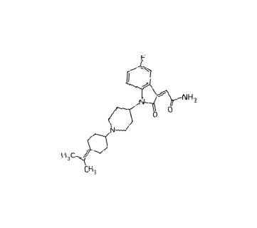 CC(C)=C1CCC(N2CCC(N3C(=O)/C(=C\C(N)=O)c4cc(F)ccc43)CC2)CC1